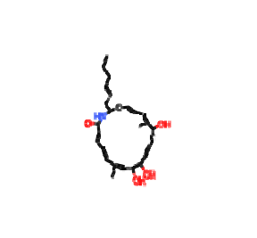 CCC/C=C/CC1C/C=C/C=C(\C)C(O)C/C=C\C(O)C(O)\C=C(C)/C=C/C=C/C(=O)N1